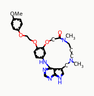 COc1ccc(OCCOc2ccc3cc2OCC(=O)N(C)CCCN(C)Cc2c[nH]c4ncnc(c24)N3)cc1